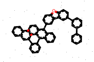 c1ccc(-c2cccc(-c3ccc4oc5ccc(-c6c7ccccc7c(-c7ccccc7-c7ccc8ccccc8c7)c7ccccc67)cc5c4c3)c2)cc1